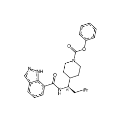 CC(C)C[C@@H](NC(=O)c1cccc2cn[nH]c12)C1CCN(C(=O)Oc2ccccc2)CC1